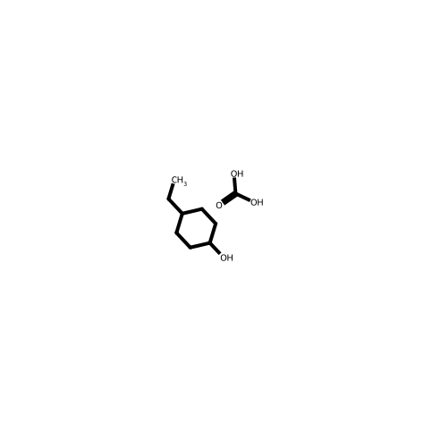 CCC1CCC(O)CC1.O=C(O)O